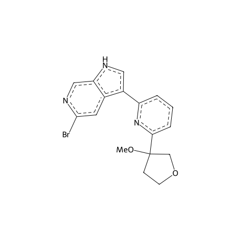 COC1(c2cccc(-c3c[nH]c4cnc(Br)cc34)n2)CCOC1